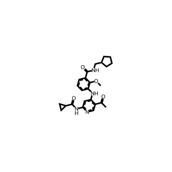 COc1c(Nc2cc(NC(=O)C3CC3)ncc2C(C)=O)cccc1C(=O)NCC1CCCC1